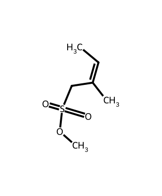 CC=C(C)CS(=O)(=O)OC